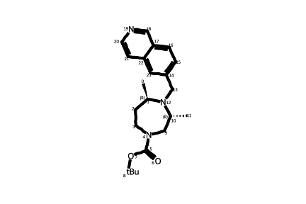 C[C@@H]1CCN(C(=O)OC(C)(C)C)C[C@@H](C)N1Cc1ccc2cnccc2c1